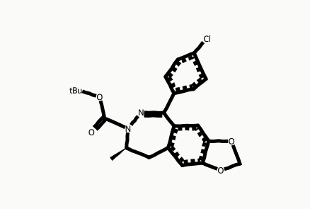 C[C@@H]1Cc2cc3c(cc2C(c2ccc(Cl)cc2)=NN1C(=O)OC(C)(C)C)OCO3